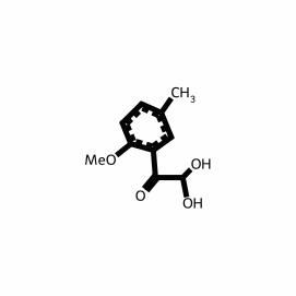 COc1ccc(C)cc1C(=O)C(O)O